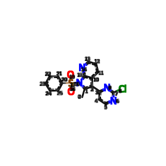 Cc1c(-c2ccnc(Cl)n2)c2cccnc2n1S(=O)(=O)c1ccccc1